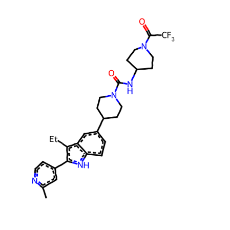 CCc1c(-c2ccnc(C)c2)[nH]c2ccc(C3CCN(C(=O)NC4CCN(C(=O)C(F)(F)F)CC4)CC3)cc12